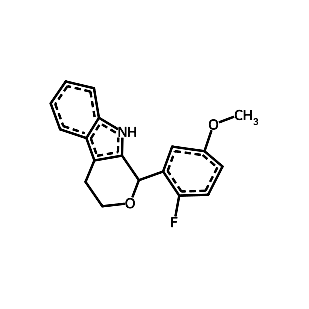 COc1ccc(F)c(C2OCCc3c2[nH]c2ccccc32)c1